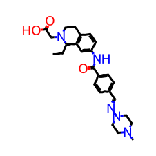 CCC1c2cc(NC(=O)c3ccc(C=NN4CCN(C)CC4)cc3)ccc2CCN1CC(=O)O